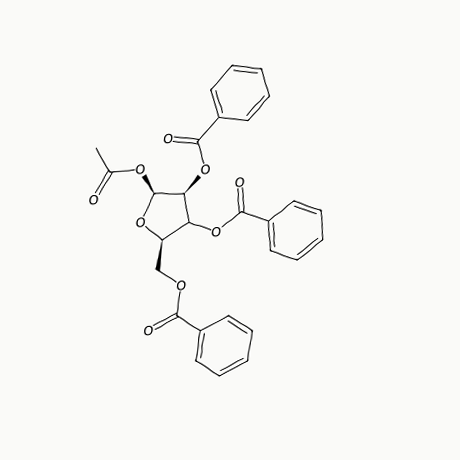 CC(=O)O[C@@H]1O[C@H](COC(=O)c2ccccc2)C(OC(=O)c2ccccc2)[C@@H]1OC(=O)c1ccccc1